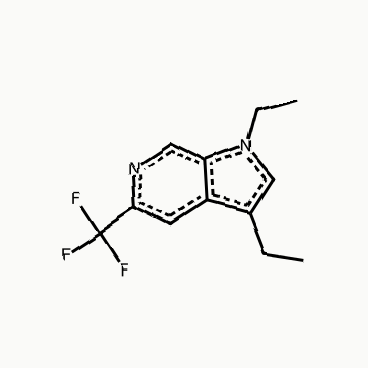 CCc1cn(CC)c2cnc(C(F)(F)F)cc12